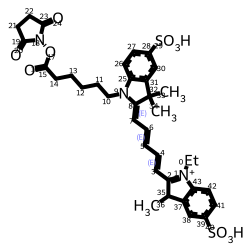 CC[N+]1=C(/C=C/C=C/C=C2/N(CCCCCC(=O)ON3C(=O)CCC3=O)c3ccc(S(=O)(=O)O)cc3C2(C)C)C(C)c2cc(S(=O)(=O)O)ccc21